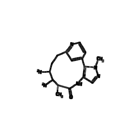 [2H]C1CCc2cc(ccn2)-c2c(cnn2C)NC(=O)C(C)C1[2H]